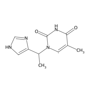 Cc1[c]n(C(C)c2c[nH]cn2)c(=O)[nH]c1=O